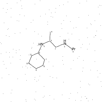 CC(C)NCC(C)NC1CCCCC1